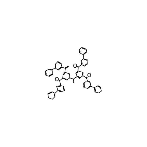 C=C(c1cc(C(=C)c2cccc(-c3ccccc3)c2)cc(C(=O)c2cccc(C3=CCCC=C3)c2)c1)c1cc(C(=O)c2cccc(C3=CCCC=C3)c2)cc(C(=O)c2cccc(-c3ccccc3)c2)c1